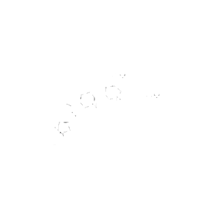 CCn1cc(N2Cc3nc(-c4cnc(OCCOC)c(OC)c4)ccc3C2=O)cn1